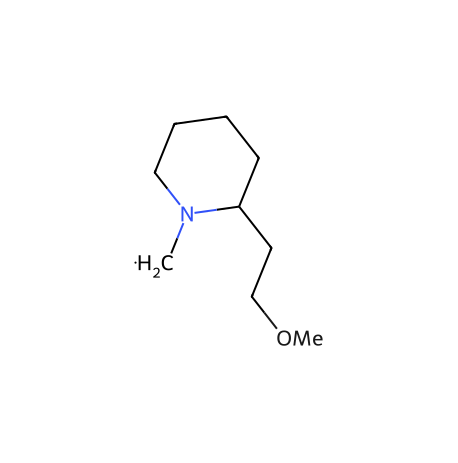 [CH2]N1CCCCC1CCOC